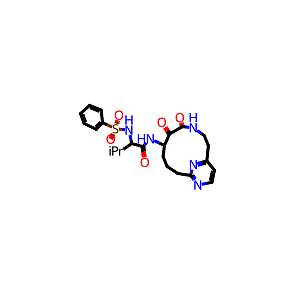 CC(C)C(NS(=O)(=O)c1ccccc1)C(=O)NC1CCCc2nccc(n2)CCNC(=O)C1=O